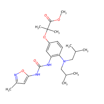 COC(=O)C(C)(C)Oc1ccc(N(CC(C)C)CC(C)C)c(NC(=O)Nc2cc(C)no2)c1